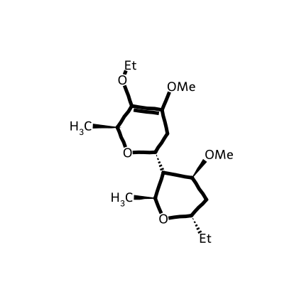 CCOC1=C(OC)C[C@H](C2[C@H](C)O[C@@H](CC)C[C@@H]2OC)O[C@H]1C